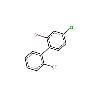 FC(F)(F)c1[c]cccc1-c1ccc(Cl)cc1Br